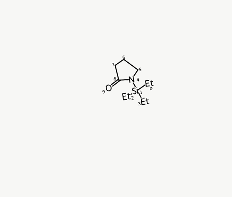 CC[Si](CC)(CC)N1CCCC1=O